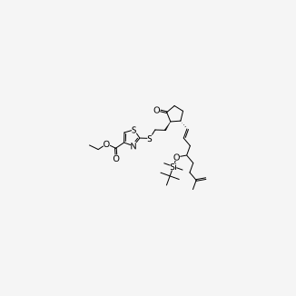 C=C(C)CCC(C/C=C/[C@H]1CCC(=O)[C@@H]1CCSc1nc(C(=O)OCC)cs1)O[Si](C)(C)C(C)(C)C